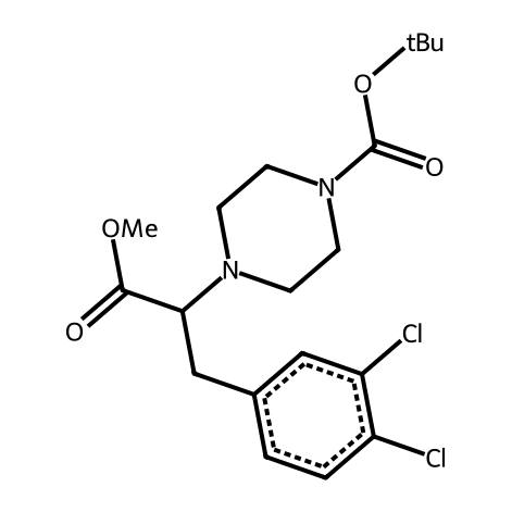 COC(=O)C(Cc1ccc(Cl)c(Cl)c1)N1CCN(C(=O)OC(C)(C)C)CC1